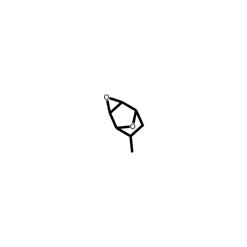 CC1CC2OC1C1OC21